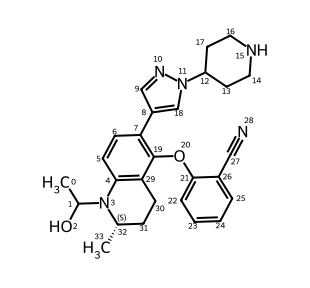 CC(O)N1c2ccc(-c3cnn(C4CCNCC4)c3)c(Oc3ccccc3C#N)c2CC[C@@H]1C